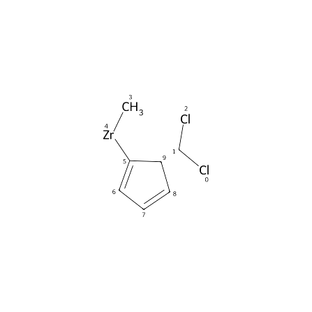 ClCCl.[CH3][Zr][C]1=CC=CC1